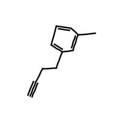 C#CC[CH]c1cccc(C)c1